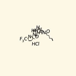 C=CCCCC(=O)NC[C@@]12C[C@@H](C(=O)Nc3nc(C(F)(F)F)ccc3C)N[C@@H]1C2.Cl